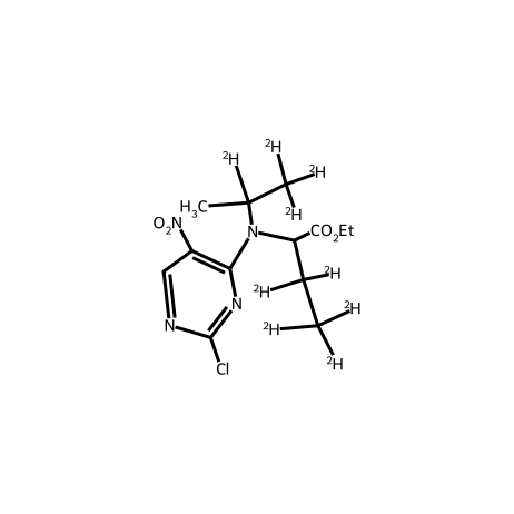 [2H]C([2H])([2H])C([2H])([2H])C(C(=O)OCC)N(c1nc(Cl)ncc1[N+](=O)[O-])C([2H])(C)C([2H])([2H])[2H]